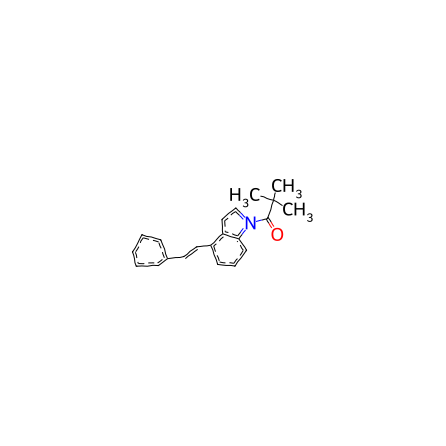 CC(C)(C)C(=O)n1ccc2c(/C=C/c3ccccc3)cccc21